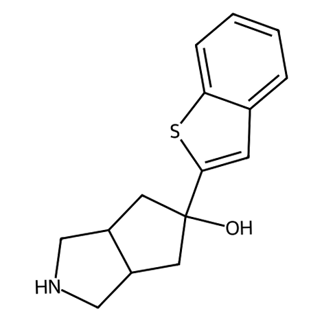 OC1(c2cc3ccccc3s2)CC2CNCC2C1